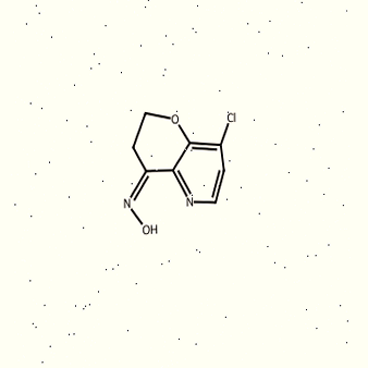 O/N=C1/CCOc2c(Cl)ccnc21